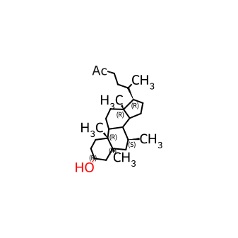 CC(=O)CCC(C)[C@H]1CCC2C3C(CC[C@@]21C)[C@@]1(C)CC[C@@H](O)C[C@@]1(C)C[C@@H]3C